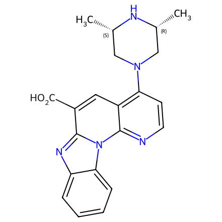 C[C@@H]1CN(c2ccnc3c2cc(C(=O)O)c2nc4ccccc4n23)C[C@H](C)N1